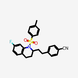 Cc1ccc(S(=O)(=O)N2c3cc(F)ccc3CCC2CCc2ccc(C#N)cc2)cc1